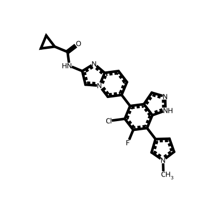 Cn1ccc(-c2c(F)c(Cl)c(-c3ccc4nc(NC(=O)C5CC5)cn4c3)c3cn[nH]c23)c1